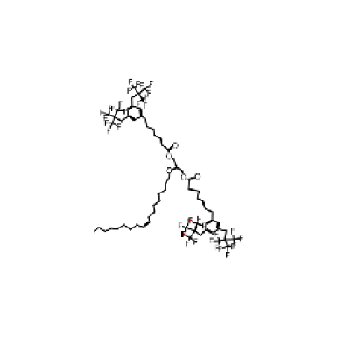 CCCCCCCC/C=C\CCCCCCCCOC(COC(=O)CCCCCCc1cc(CC(C(F)(F)F)(C(F)(F)F)C(F)(F)F)cc(CC(C(F)(F)F)(C(F)(F)F)C(F)(F)F)c1)COC(=O)CCCCCCc1cc(CC(C(F)(F)F)(C(F)(F)F)C(F)(F)F)cc(CC(C(F)(F)F)(C(F)(F)F)C(F)(F)F)c1